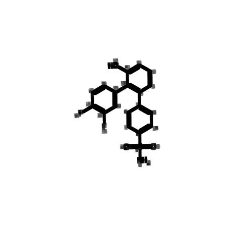 NS(=O)(=O)c1ccc(-c2[c]ccc(O)c2-c2ccc(F)c(F)c2)cc1